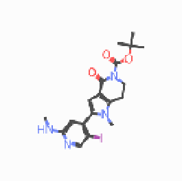 CNc1cc(-c2cc3c(n2C)CCN(C(=O)OC(C)(C)C)C3=O)c(I)cn1